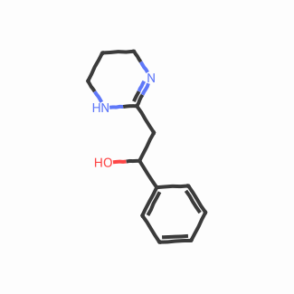 OC(CC1=NCCCN1)c1ccccc1